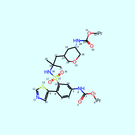 CC(C)OC(=O)Nc1ccc(-c2cncs2)c(S(=O)(=O)NC(C)(C)CC2COC[C@@H](NC(=O)OC(C)C)C2)c1